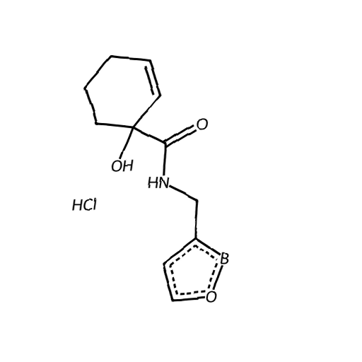 Cl.O=C(NCc1bocc1)C1(O)C=CCCC1